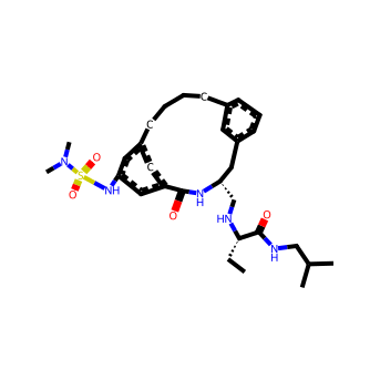 CC[C@H](NC[C@H]1Cc2cccc(c2)CCCCc2cc(NS(=O)(=O)N(C)C)cc(c2)C(=O)N1)C(=O)NCC(C)C